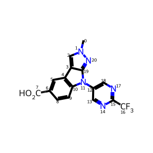 Cn1cc2c3cc(C(=O)O)ccc3n(-c3cnc(C(F)(F)F)nc3)c2n1